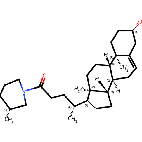 C[C@@H]1CCCN(C(=O)CC[C@@H](C)[C@H]2CC[C@H]3[C@@H]4CC=C5C[C@@H](O)CC[C@]5(C)[C@H]4CC[C@]23C)C1